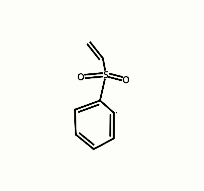 C=CS(=O)(=O)c1[c]cccc1